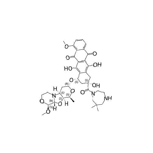 COc1cccc2c1C(=O)c1c(O)c3c(c(O)c1C2=O)C[C@@](O)(C(=O)N1CCNCC(C)(C)C1)C[C@@H]3O[C@H]1C[C@H]2[C@H](O[C@@H]3[C@@H](OC)OCCN32)[C@H](C)O1